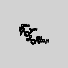 COc1cc(-c2ccc(OC(=O)c3cccc([C@H](O)[C@H](C)C(=O)O)c3)c(CN(C)C(C)C)c2)c(F)cn1